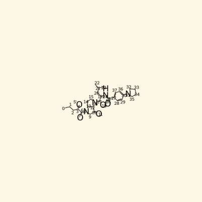 CCCC(OC)C(=O)N1CC(=O)C2C1CCN2C(=O)C(CC(C)C)NC(=O)c1ccc(N2CCCC2)cc1